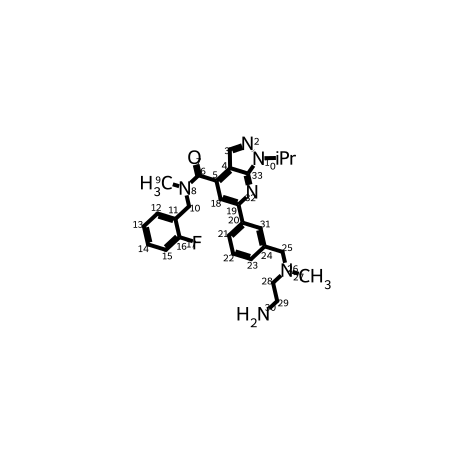 CC(C)n1ncc2c(C(=O)N(C)Cc3ccccc3F)cc(-c3cccc(CN(C)CCN)c3)nc21